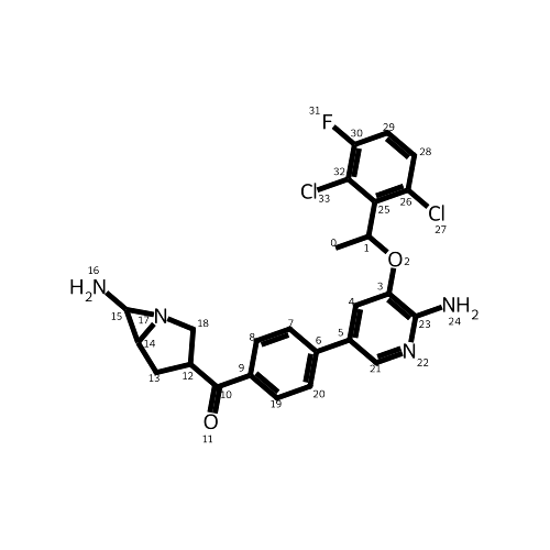 CC(Oc1cc(-c2ccc(C(=O)C3CC4C(N)N4C3)cc2)cnc1N)c1c(Cl)ccc(F)c1Cl